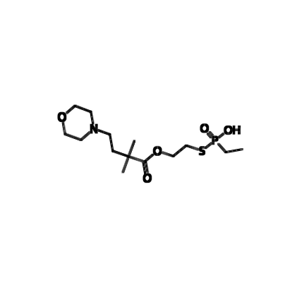 CCP(=O)(O)SCCOC(=O)C(C)(C)CCN1CCOCC1